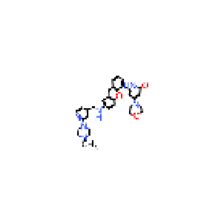 CN1CCN(c2cc(CNc3ccc4c(c3)Cc3cccc(-c5cc(N6CCOCC6)cc(=O)[nH]5)c3O4)ccn2)CC1